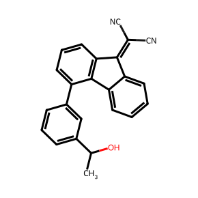 CC(O)c1cccc(-c2cccc3c2-c2ccccc2C3=C(C#N)C#N)c1